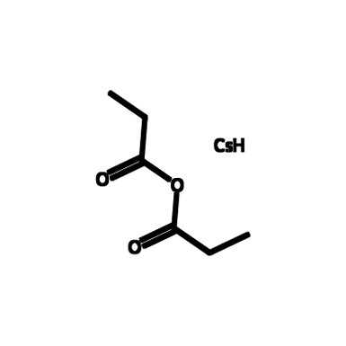 CCC(=O)OC(=O)CC.[CsH]